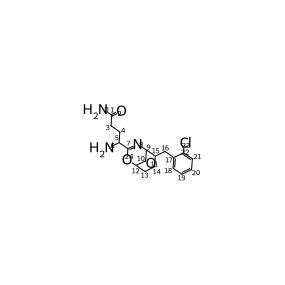 NC(=O)CCC(N)C1=NC2C(=O)C(CCC2Cc2ccccc2Cl)O1